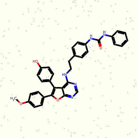 COc1ccc(-c2oc3ncnc(NCCc4ccc(NC(=O)Nc5ccccc5)cc4)c3c2-c2ccc(O)cc2)cc1